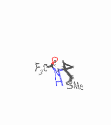 CSCC1(NC(=O)C(F)(F)F)CC1